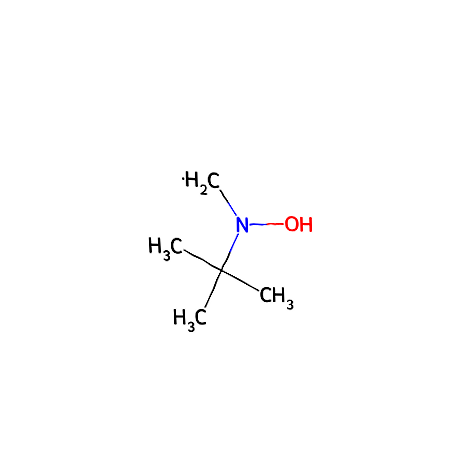 [CH2]N(O)C(C)(C)C